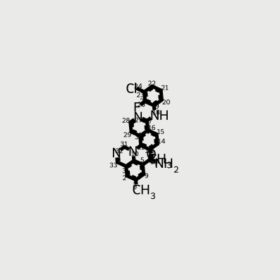 Cc1cc2c(c(C(N)=O)c1)N(c1c(C)ccc3c(Nc4cccc(Cl)c4F)nccc13)CN=C2